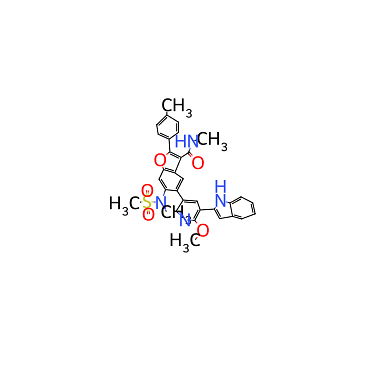 CNC(=O)c1c(-c2ccc(C)cc2)oc2cc(N(C)S(C)(=O)=O)c(-c3cnc(OC)c(-c4cc5ccccc5[nH]4)c3)cc12